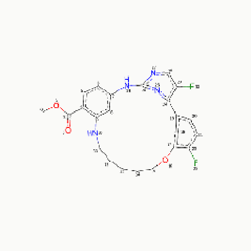 COC(=O)c1ccc2cc1NCCCCCOc1cc(ccc1F)-c1nc(ncc1F)N2